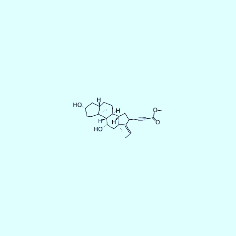 C/C=C1/C(C#CC(=O)OC)C[C@H]2[C@@H]3CC[C@H]4C[C@@H](O)CC[C@]4(C)[C@H]3[C@@H](O)C[C@]12C